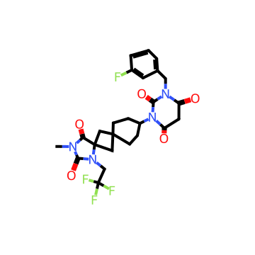 CN1C(=O)N(CC(F)(F)F)C2(CC3(CCC(N4C(=O)CC(=O)N(Cc5cccc(F)c5)C4=O)CC3)C2)C1=O